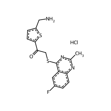 Cc1nc(SCC(=O)c2ccc(CN)s2)c2cc(F)ccc2n1.Cl